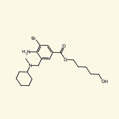 CN(Cc1cc(C(=O)OCCCCCO)cc(Br)c1N)C1CCCCC1